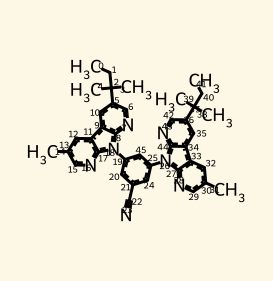 CCC(C)(C)c1cnc2c(c1)c1cc(C)cnc1n2-c1cc(C#N)cc(-n2c3ncc(C)cc3c3cc(C(C)(C)CC)cnc32)c1